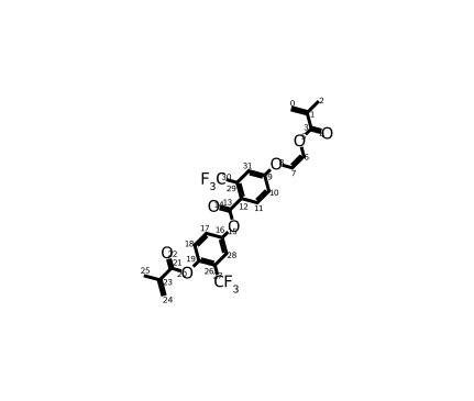 C=C(C)C(=O)O/C=C\Oc1ccc(C(=O)Oc2ccc(OC(=O)C(=C)C)c(C(F)(F)F)c2)c(C(F)(F)F)c1